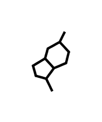 CC1CCC2C(C)CCC2C1